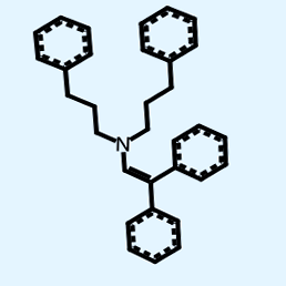 C(=C(c1ccccc1)c1ccccc1)N(CCCc1ccccc1)CCCc1ccccc1